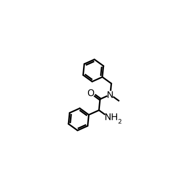 CN(Cc1ccccc1)C(=O)C(N)c1ccccc1